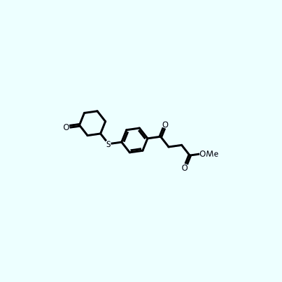 COC(=O)CCC(=O)c1ccc(SC2CCCC(=O)C2)cc1